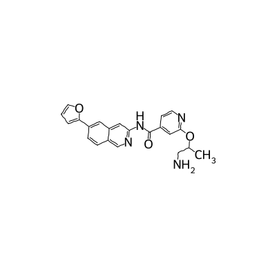 CC(CN)Oc1cc(C(=O)Nc2cc3cc(-c4ccco4)ccc3cn2)ccn1